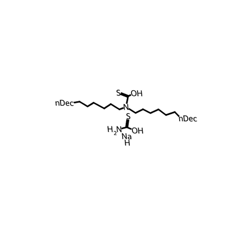 CCCCCCCCCCCCCCCCN(CCCCCCCCCCCCCCCC)C(O)=S.NC(O)=S.[NaH]